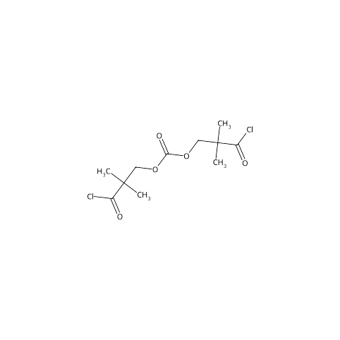 CC(C)(COC(=O)OCC(C)(C)C(=O)Cl)C(=O)Cl